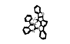 CC1(C)c2c(oc3ccccc23)-c2ccc3c4ccccc4n(-c4nc(-c5ccccc5)c5ccccc5n4)c3c21